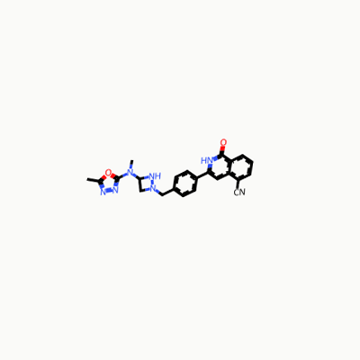 Cc1nnc(N(C)C2CN(Cc3ccc(-c4cc5c(C#N)cccc5c(=O)[nH]4)cc3)N2)o1